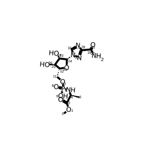 COC(=O)[C@H](C)NP(=O)(O)OC[C@H]1O[C@@H](n2cnc(C(N)=O)n2)[C@H](O)[C@@H]1O